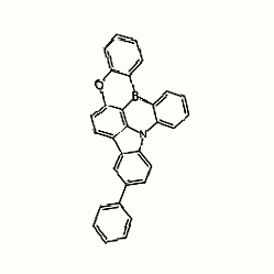 c1ccc(-c2ccc3c(c2)c2ccc4c5c2n3-c2ccccc2B5c2ccccc2O4)cc1